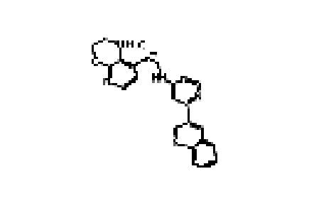 C[C@H](CNc1cc(-c2cnc3ccccc3c2)ncn1)c1ccnc2c1OCCO2